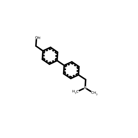 CN(C)Cc1ccc(-c2ccc(CO)cc2)cc1